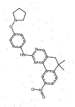 CC1(C)Cc2cnc(Nc3ccc(ON4CCCC4)cc3)nc2-c2cc([N+](=O)[O-])ccc21